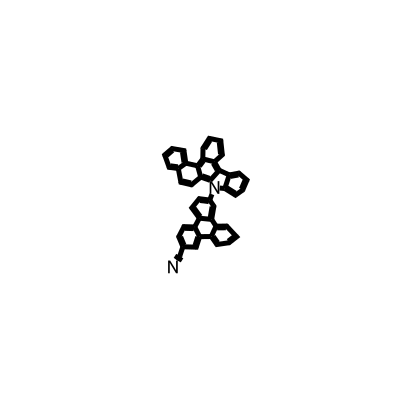 N#Cc1ccc2c3ccc(-n4c5ccccc5c5c6ccccc6c6c7ccccc7ccc6c54)cc3c3ccccc3c2c1